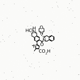 Cc1c(C(=O)O)cc(-c2cc3c(cc2C(=O)N2Cc4ccccc4C[C@H]2CN2CCOCC2)CNCC3)n1C.Cl